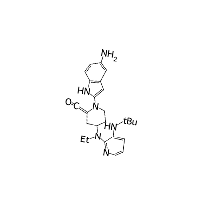 CCN(c1ncccc1NC(C)(C)C)C1CCN(c2cc3cc(N)ccc3[nH]2)C(=C=O)C1